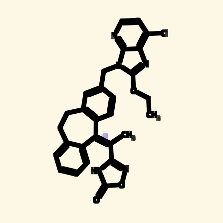 CCOc1nc2c(Cl)ccnc2n1Cc1ccc2c(c1)CCc1ccccc1/C2=C(/C)c1noc(=O)[nH]1